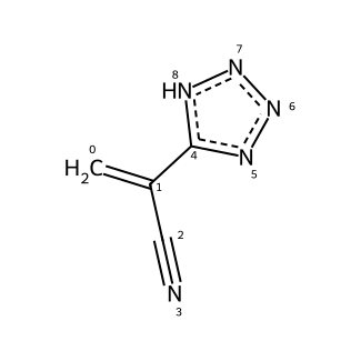 C=C(C#N)c1nnn[nH]1